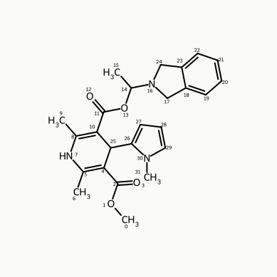 COC(=O)C1=C(C)NC(C)=C(C(=O)OC(C)N2Cc3ccccc3C2)C1c1cccn1C